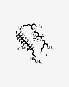 CCCCC(CC)COC(=O)CC(C(=O)OCC(CC)CCCC)S(=O)(=O)[O-].CNCCCC(F)(F)C(F)(F)C(F)(F)C(F)(F)C(F)(F)C(F)(F)C(F)(F)C(F)(F)F.Cl.[Na+]